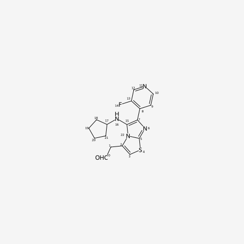 O=CCc1csc2nc(-c3ccncc3F)c(NC3CCCC3)n12